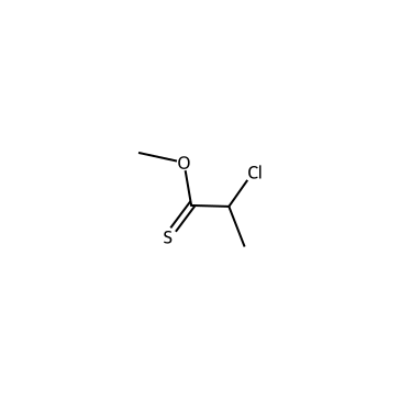 COC(=S)C(C)Cl